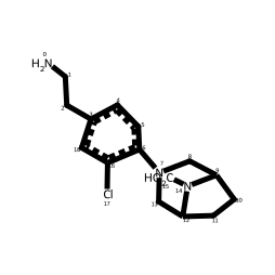 NCCc1ccc(N2CC3CCC(C2)N3C(=O)O)c(Cl)c1